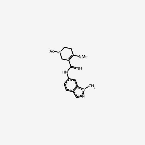 CNC1=C(C(=N)Nc2ccc3cnn(C)c3c2)CN(C(C)=O)CC1